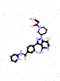 C=CC(=O)N1CCC[C@@H](n2nc(-c3ccc(C(=O)Nc4ccccn4)cc3)c3c(N)ncc(Cl)c32)C1